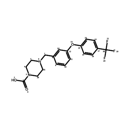 O=C(O)N1CCN(Cc2cccc(Oc3ccc(C(F)(F)F)cc3)c2)CC1